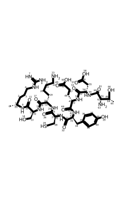 C[C@H](CCCNC(=N)N)NC(=O)[C@H](CO)NC(=O)[C@H](CCCCN)NC(=O)[C@H](CS)NC(=O)[C@H](Cc1ccc(O)cc1)NC(=O)[C@H](CCC(=O)O)NC(=O)[C@H](CC(=O)O)NC(=O)[C@@H](N)[C@@H](C)O